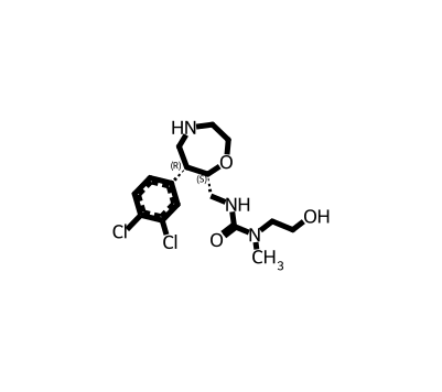 CN(CCO)C(=O)NC[C@H]1OCCNC[C@H]1c1ccc(Cl)c(Cl)c1